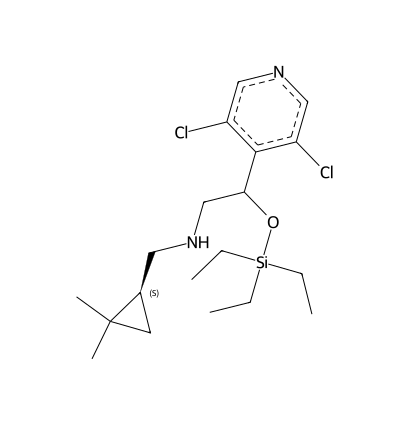 CC[Si](CC)(CC)OC(CNC[C@H]1CC1(C)C)c1c(Cl)cncc1Cl